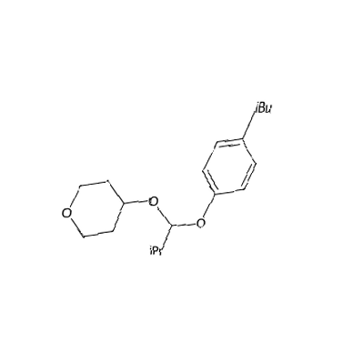 CCC(C)c1ccc(OC(OC2CCOCC2)C(C)C)cc1